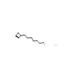 O=C(O)CCCCCCCC1C=CC1